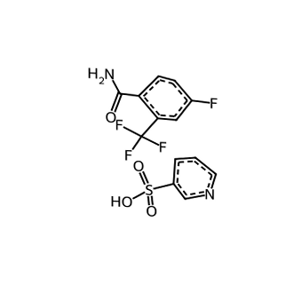 NC(=O)c1ccc(F)cc1C(F)(F)F.O=S(=O)(O)c1cccnc1